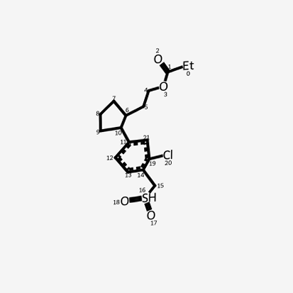 CCC(=O)OCCC1CCCC1c1ccc(C[SH](=O)=O)c(Cl)c1